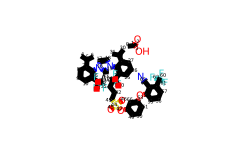 CC(=O)O.CC(C)c1cccc(C(C)C)c1-n1ccn(-c2c(C(C)C)cccc2C(C)C)[c]1=[Au]([C](F)(F)F)[C](F)(F)CCCS(=O)(=O)Oc1cccc(Oc2cccc(C(F)(F)F)c2C#N)c1